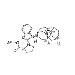 CC(C)(C)OC(=O)[C@H]1CCCN1c1nc2ccccc2n1[C@@H]1C[C@@H]2CCCCC1CN2[C@H]1C[C@@H]2CCCCC1CC2